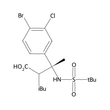 CCC(C)C(C(=O)O)[C@@](C)(NS(=O)(=O)C(C)(C)C)c1ccc(Br)c(Cl)c1